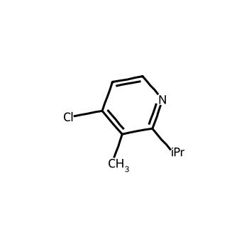 Cc1c(Cl)ccnc1C(C)C